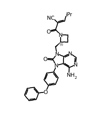 CC(C)C=C(C#N)C(=O)N1CC[C@H]1Cn1c(=O)n(-c2ccc(Oc3ccccc3)cc2)c2c(N)ncnc21